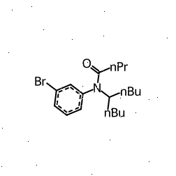 CCCCC(CCCC)N(C(=O)CCC)c1cccc(Br)c1